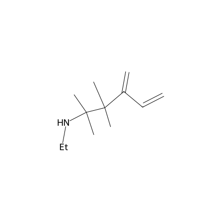 C=CC(=C)C(C)(C)C(C)(C)NCC